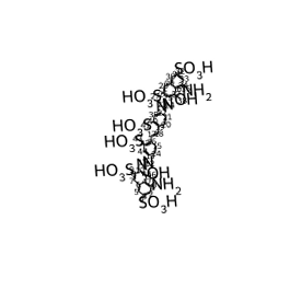 Nc1cc(S(=O)(=O)O)cc2cc(S(=O)(=O)O)c(N=Nc3ccc(/C=C/c4ccc(N=Nc5c(S(=O)(=O)O)cc6cc(S(=O)(=O)O)cc(N)c6c5O)cc4S(=O)(=O)O)c(S(=O)(=O)O)c3)c(O)c12